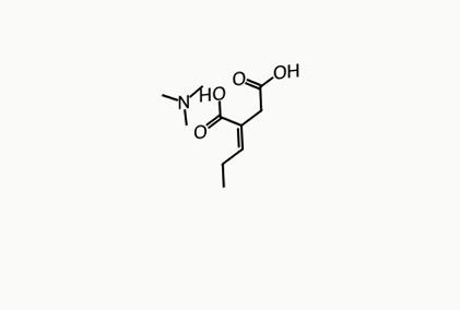 CCC=C(CC(=O)O)C(=O)O.CN(C)C